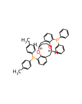 Cc1ccc(P(c2ccc(C)cc2)c2cccc3c2O[C@@H]2CCC[C@H](C3)Oc3c(cccc3P(c3ccccc3)c3ccccc3)C2)cc1